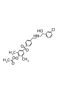 CC(=O)OOc1c(C)cc(S(=O)(=O)c2ccc(CCNC[C@H](O)c3cccc(Cl)c3)cc2)cc1C